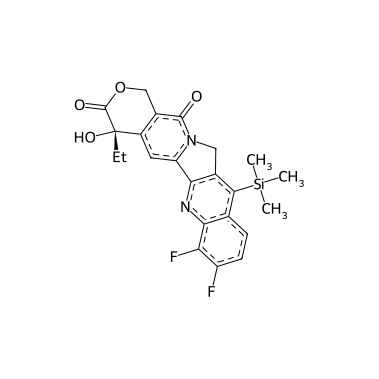 CC[C@@]1(O)C(=O)OCc2c1cc1n(c2=O)Cc2c-1nc1c(F)c(F)ccc1c2[Si](C)(C)C